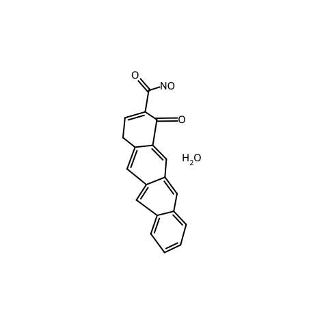 O.O=NC(=O)C1=CCc2cc3cc4ccccc4cc3cc2C1=O